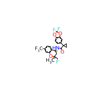 C[C@@]1(CF)C[C@@H](NC(=O)C2(c3ccc4c(c3)OC(F)(F)O4)CC2)c2ccc(C(F)(F)F)cc2O1